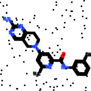 Cc1cccc(NC(=O)c2cc(N3CCc4nc(N)ncc4C3)cc(C)n2)c1